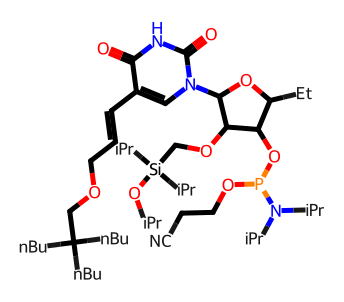 CCCCC(CCCC)(CCCC)COC/C=C/c1cn(C2OC(CC)C(OP(OCCC#N)N(C(C)C)C(C)C)C2OC[Si](OC(C)C)(C(C)C)C(C)C)c(=O)[nH]c1=O